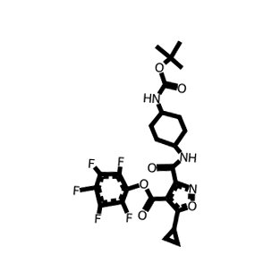 CC(C)(C)OC(=O)NC1CCC(NC(=O)c2noc(C3CC3)c2C(=O)Oc2c(F)c(F)c(F)c(F)c2F)CC1